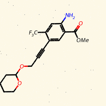 COC(=O)c1cc(C#CCOC2CCCCO2)c(C(F)(F)F)cc1N